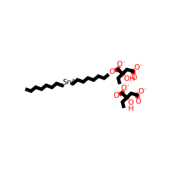 CCC(O)(CC(=O)[O-])C(=O)[O-].CCC(O)(CC(=O)[O-])C(=O)[O-].CCCCCCC[CH2][Sn+4][CH2]CCCCCCC